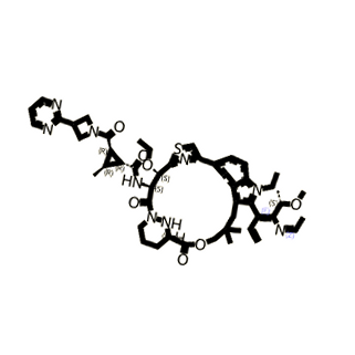 C=C/C(=C(\N=C/C)[C@H](C)OC)c1c2c3cc(ccc3n1CC)-c1csc(n1)[C@@H](OCC)[C@H](NC(=O)[C@@H]1[C@@H](C)[C@H]1C(=O)N1CC(c3ncccn3)C1)C(=O)N1CCC[C@H](N1)C(=O)OCC(C)(C)C2